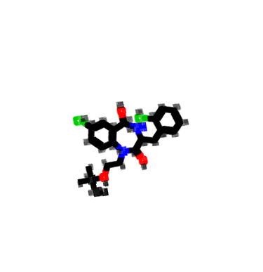 CC(C)(C)[Si](C)(C)OCCN1C(=O)C(Cc2ccccc2Cl)NC(=O)c2cc(Cl)ccc21